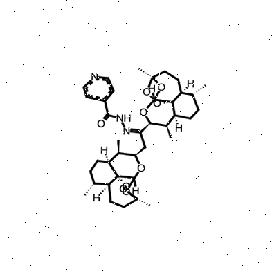 C[C@H]1[C@@H](/C(C[C@H]2O[C@@H]3O[C@]4(C)CC[C@H]5[C@H](C)CC[C@@H]([C@H]2C)[C@@]35OO4)=N\NC(=O)c2ccncc2)O[C@@H]2O[C@]3(C)CC[C@H]4[C@H](C)CC[C@@H]1[C@@]24OO3